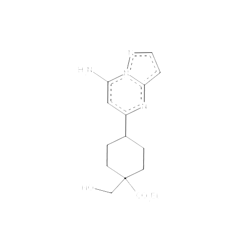 CCOC(=O)C1(CO)CCC(c2cc(N)n3nccc3n2)CC1